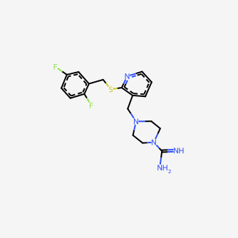 N=C(N)N1CCN(Cc2cccnc2SCc2cc(F)ccc2F)CC1